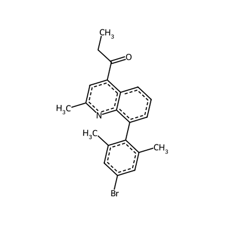 CCC(=O)c1cc(C)nc2c(-c3c(C)cc(Br)cc3C)cccc12